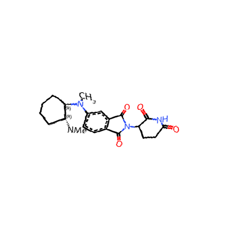 CN[C@@H]1CCCC[C@H]1N(C)c1ccc2c(c1)C(=O)N(C1CCC(=O)NC1=O)C2=O